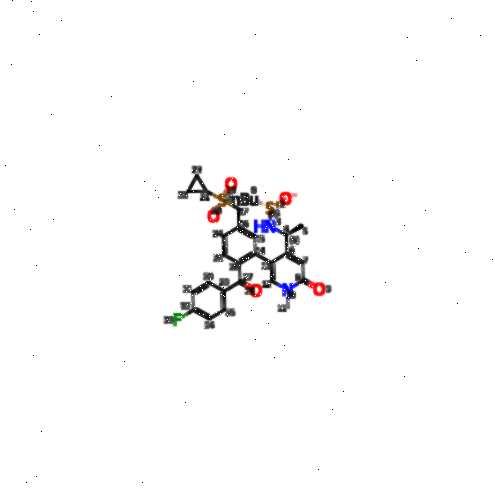 CCCC[S@+]([O-])N[C@@H](C)c1cc(=O)n(C)cc1-c1cc(CS(=O)(=O)C2CC2)ccc1C(=O)c1ccc(F)cc1